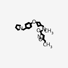 CCc1cc(C(=O)N(C)CC2CC(Oc3ccc(CN4CCCC4)cc3)C2)no1